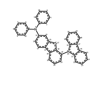 c1ccc(N(c2ccccc2)c2ccc3c(c2)sc2c(-n4c5ccccc5c5ccccc54)cccc23)cc1